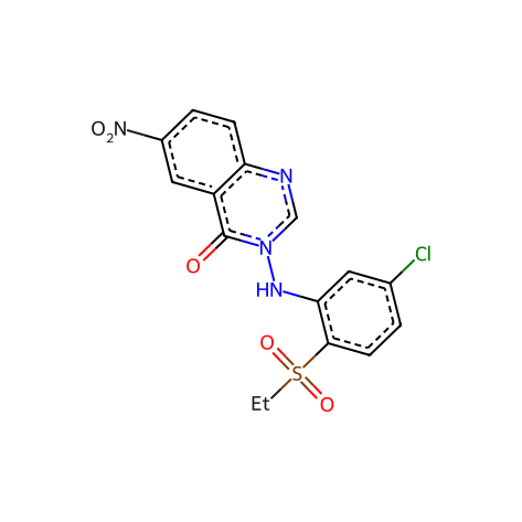 CCS(=O)(=O)c1ccc(Cl)cc1Nn1cnc2ccc([N+](=O)[O-])cc2c1=O